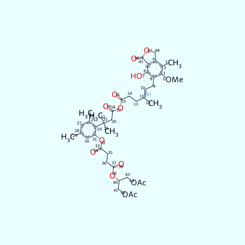 COc1c(C)c2c(c(O)c1C/C=C(\C)CCC(=O)OC(=O)CC(C)(C)c1c(C)cc(C)cc1OC(=O)CCC(=O)OC(COC(C)=O)COC(C)=O)C(=O)OC2